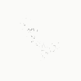 Cc1[nH]c(C=C2C(=O)N(CN3CCCC3)c3ccccc32)c(C)c1C(=O)NCC(O)CN1CCOCC1